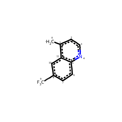 [CH2]c1ccnc2ccc(C(F)(F)F)cc12